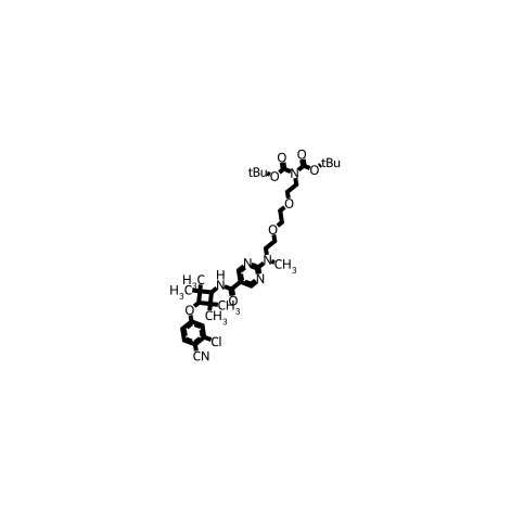 CN(CCOCCOCCN(C(=O)OC(C)(C)C)C(=O)OC(C)(C)C)c1ncc(C(=O)NC2C(C)(C)C(Oc3ccc(C#N)c(Cl)c3)C2(C)C)cn1